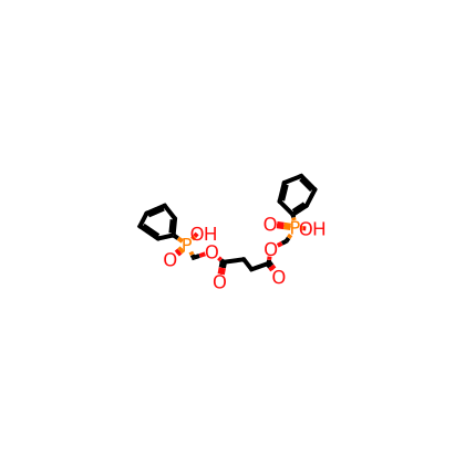 O=C(CCC(=O)OCP(=O)(O)c1ccccc1)OCP(=O)(O)c1ccccc1